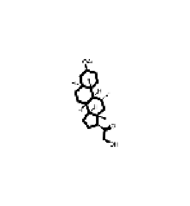 CC(=O)O[C@H]1CC[C@@]2(C)[C@@H](CC[C@@H]3[C@@H]2[C@H](F)C[C@]2(C)[C@@H](C(=O)CO)CC[C@@H]32)C1